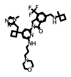 Cn1cnnc1CC1(c2cc(NCCCN3CCOCC3)nc(N3Cc4c(cc(CNC5(C)CCC5)cc4C(F)(F)F)C3=O)c2)CCC1